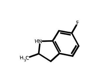 CC1Cc2ccc(F)cc2N1